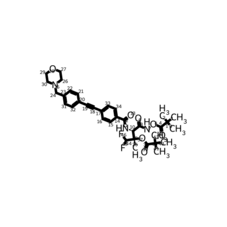 CC(C)(C)C(=O)ONC(=O)[C@@H](NC(=O)c1ccc(C#Cc2ccc(CN3CCOCC3)cc2)cc1)[C@](C)(OC(=O)C(C)(C)C)C(F)F